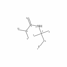 C=C(NC(C)(C)CF)C(C)C